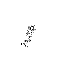 CCN(CC)CNC(=S)OCc1cc2ccccc2oc1=O